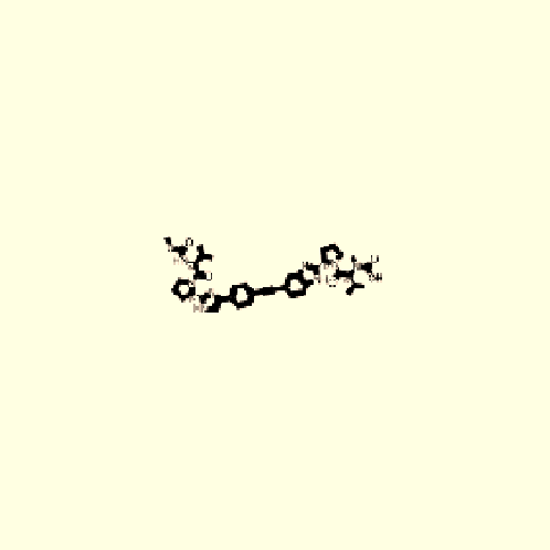 COC(=O)N[C@H](C(=O)N1CCC[C@H]1c1nc(-c2ccc(C#Cc3ccc4[nH]c([C@@H]5CCCN5C(=O)[C@H](C(C)C)N(C)C(=O)O)nc4c3)cc2)c[nH]1)C(C)C